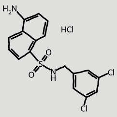 Cl.Nc1cccc2c(S(=O)(=O)NCc3cc(Cl)cc(Cl)c3)cccc12